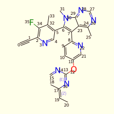 C#Cc1ncc(-c2c(-c3ccc(O/C(N=C)=N/C(C)=C\C)cn3)c3c(C)ncnc3n2C)c(C)c1F